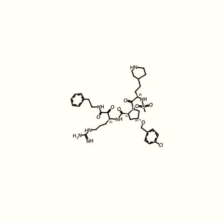 CS(=O)(=O)N[C@H](CCC1CCNCC1)C(=O)N1C[C@H](OCc2ccc(Cl)cc2)C[C@H]1C(=O)N[C@@H](CCCNC(=N)N)C(=O)C(=O)NCCc1ccccc1